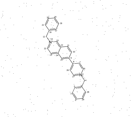 c1ccc(C[n+]2ccc(-c3ccc4c[n+](Cc5ccccc5)ccc4c3)cc2)cc1